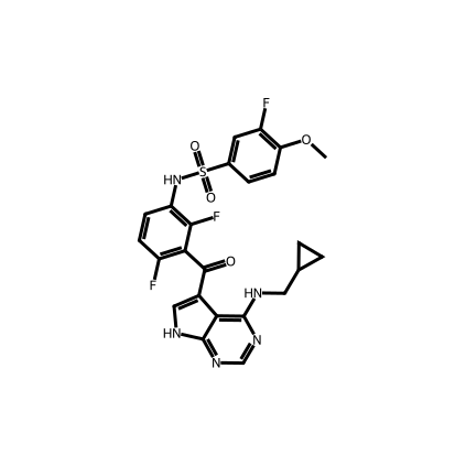 COc1ccc(S(=O)(=O)Nc2ccc(F)c(C(=O)c3c[nH]c4ncnc(NCC5CC5)c34)c2F)cc1F